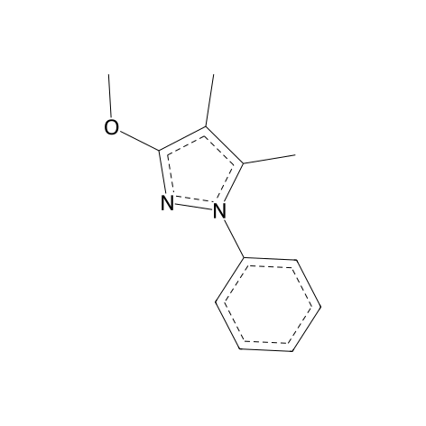 COc1nn(-c2ccccc2)c(C)c1C